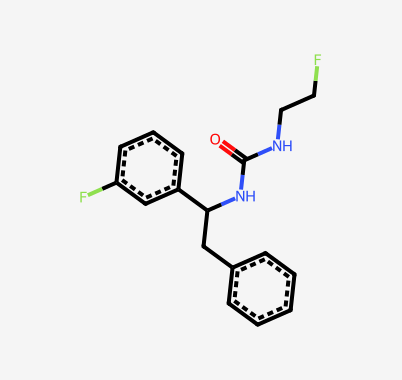 O=C(NCCF)NC(Cc1ccccc1)c1cccc(F)c1